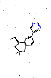 C/C=C1\CC(C)(C)Cc2ccc(-c3cncnc3)cc21